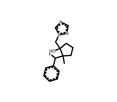 CC1(C(F)c2ccccc2)CCCC1(O)Cn1cncn1